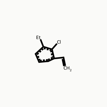 C=Cc1cccc(CC)c1Cl